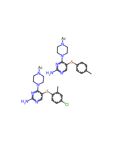 CC(=O)N1CCN(c2nc(N)ncc2Sc2ccc(C)cc2)CC1.CC(=O)N1CCN(c2nc(N)ncc2Sc2ccc(Cl)cc2C)CC1